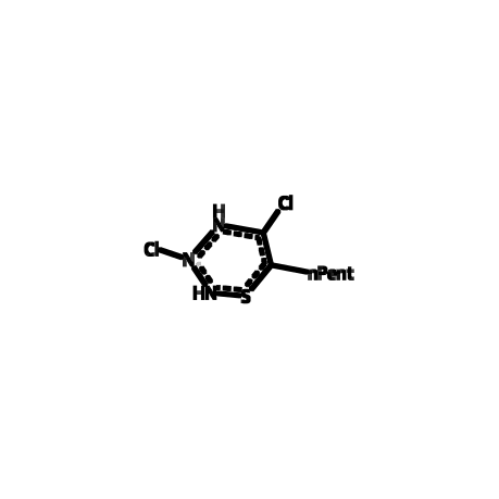 CCCCCc1s[nH]n(Cl)[nH]c1Cl